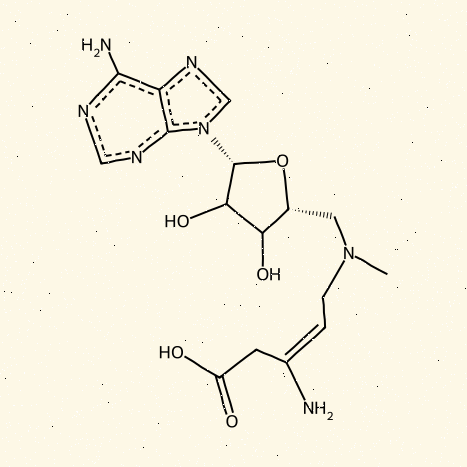 CN(C/C=C(/N)CC(=O)O)C[C@H]1O[C@@H](n2cnc3c(N)ncnc32)C(O)C1O